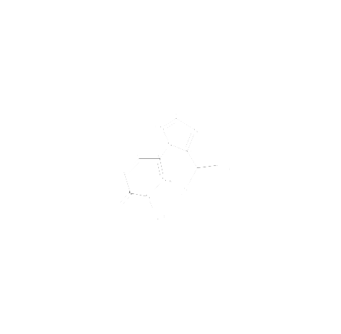 CC(N)c1ncnn1-c1ccc(=O)n(C)n1